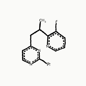 CC(C)c1nccc(CC(C)c2ncccc2F)n1